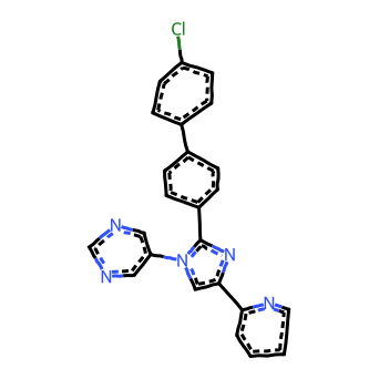 Clc1ccc(-c2ccc(-c3nc(-c4ccccn4)cn3-c3cncnc3)cc2)cc1